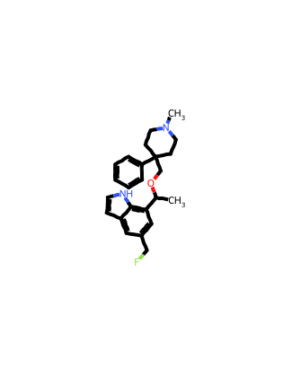 CC(OCC1(c2ccccc2)CCN(C)CC1)c1cc(CF)cc2cc[nH]c12